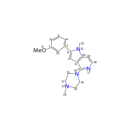 COc1cccc(-c2cc3c(N4CCN(C)CC4)nccc3n2C)c1